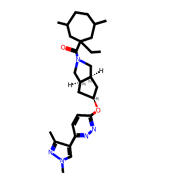 CCC1(C(=O)N2C[C@H]3C[C@@H](Oc4ccc(-c5cn(C)nc5C)nn4)C[C@H]3C2)CC(C)CCC(C)C1